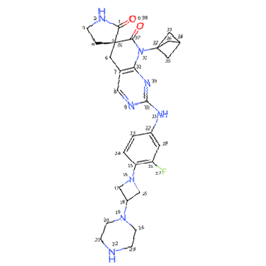 O=C1NCC[C@@]12Cc1cnc(Nc3ccc(N4CC(N5CCNCC5)C4)c(F)c3)nc1N(C13CC(C1)C3)C2=O